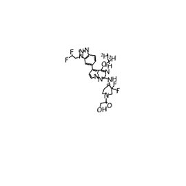 [2H]C([2H])([2H])Oc1nc(N[C@@H]2CCN(C(=O)CO)CC2(F)F)nn2ccc(-c3ccc4nnn(CC(F)F)c4c3)c12